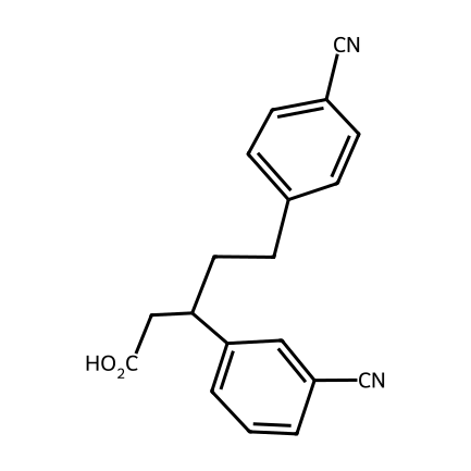 N#Cc1ccc(CCC(CC(=O)O)c2cccc(C#N)c2)cc1